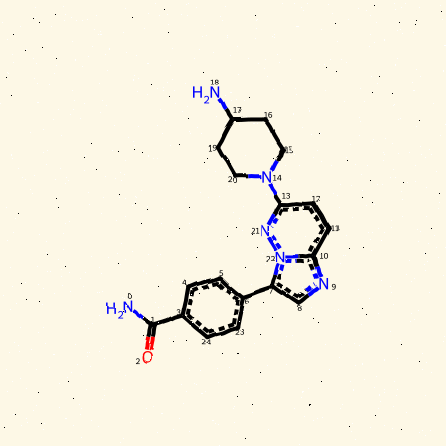 NC(=O)c1ccc(-c2cnc3ccc(N4CCC(N)CC4)nn23)cc1